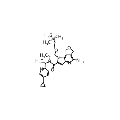 CCN(C(=O)c1cc2nc(N)c3c(c2n1COCC[Si](C)(C)C)COC3)C(C)c1ccc(C2CC2)cn1